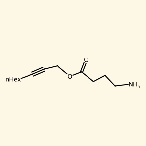 CCCCCCC#CCOC(=O)CCCN